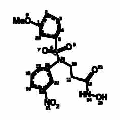 COc1cccc(S(=O)(=O)N(CCC(=O)NO)c2cccc([N+](=O)[O-])c2)c1